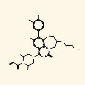 C=CC(=O)N1C(C)CN(c2nc(=O)n3c4c(c(-c5ccc(F)c(Cl)c5)c(C(F)(F)F)cc24)SCC(OCCOC)C3)CC1C